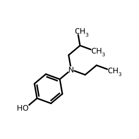 CCCN(CC(C)C)c1ccc(O)cc1